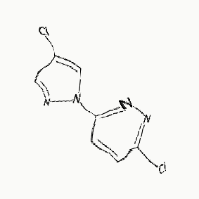 Clc1cnn(-c2ccc(Cl)nn2)c1